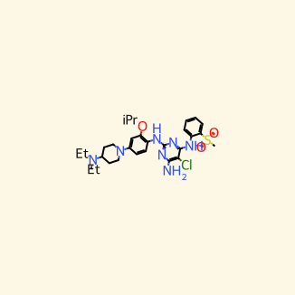 CCN(CC)C1CCN(c2ccc(Nc3nc(N)c(Cl)c(Nc4ccccc4S(C)(=O)=O)n3)c(OC(C)C)c2)CC1